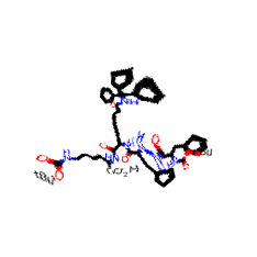 CC(C)(C)OC(=O)NCCCCC(NC(=O)C(CCC(=O)NC(c1ccccc1)(c1ccccc1)c1ccccc1)NC(=O)C(Cc1ccccc1)NNC(=O)C(Cc1ccccc1)NC(=O)OC(C)(C)C)C(=O)O